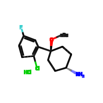 CCCCO[C@]1(c2cc(F)ccc2Cl)CC[C@@H](N)CC1.Cl